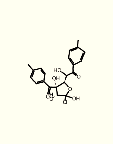 Cc1ccc(C(=O)C(O)[C@H]2OC(O)(Cl)[C@H](O)[C@@]2(O)C(=O)c2ccc(C)cc2)cc1